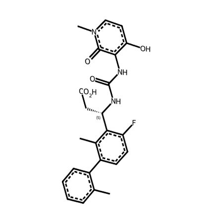 Cc1ccccc1-c1ccc(F)c([C@H](CC(=O)O)NC(=O)Nc2c(O)ccn(C)c2=O)c1C